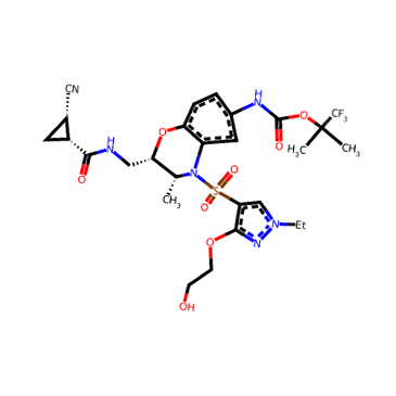 CCn1cc(S(=O)(=O)N2c3cc(NC(=O)OC(C)(C)C(F)(F)F)ccc3O[C@@H](CNC(=O)[C@@H]3C[C@@H]3C#N)[C@H]2C)c(OCCO)n1